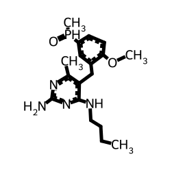 CCCCNc1nc(N)nc(C)c1Cc1cc([PH](C)=O)ccc1OC